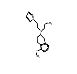 CCCN(CC[SH]1C=CC=C1)[C@H]1CCc2c(cccc2OC)C1